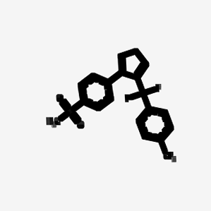 CS(=O)(=O)c1ccc(C2=CCC=C2C(F)(F)c2ccc(C(F)(F)F)cc2)cc1